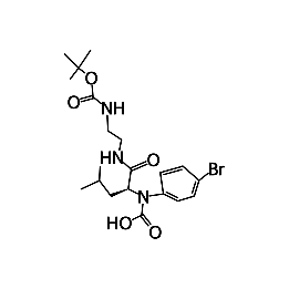 CC(C)C[C@@H](C(=O)NCCNC(=O)OC(C)(C)C)N(C(=O)O)c1ccc(Br)cc1